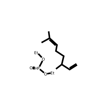 C=CC(C)CCC=C(C)C.CCO[PH](=O)OCC